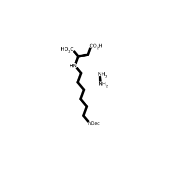 CCCCCCCCCCCCCCCCNC(CC(=O)O)C(=O)O.NN